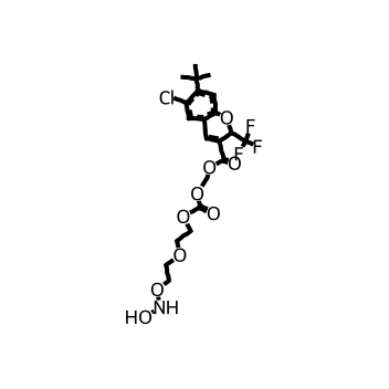 CC(C)(C)c1cc2c(cc1Cl)C=C(C(=O)OCOC(=O)OCCOCCONO)C(C(F)(F)F)O2